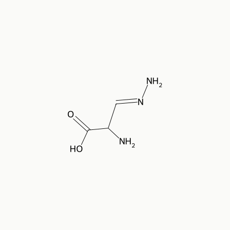 NN=CC(N)C(=O)O